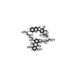 CC[C@@]1(O)C(=O)OCc2c1cc1n(c2=O)Cc2cc3ccccc3nc2-1.O=C1c2c(O)ccc(O)c2C(=O)c2c(NCCNCCO)ccc(NCCNCCO)c21